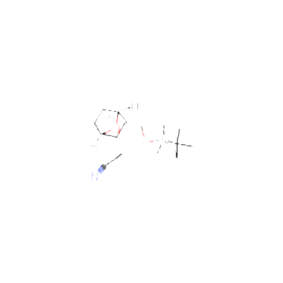 CC(C)(C)[Si](C)(C)OC[C@@H]1[C@H](CC#N)[C@@H]2CC[C@H]1O2